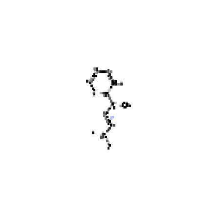 CN(C)/C=C/C(=O)c1ccccn1